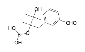 CC(C)(O)C(C)(Cc1cccc(C=O)c1)OB(O)O